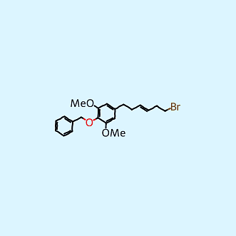 COc1cc(CC/C=C/CCBr)cc(OC)c1OCc1ccccc1